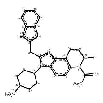 COC(=O)N1c2ccc3c(nc(Cc4cc5ccccc5[nH]4)n3C3CCC(C(=O)O)CC3)c2CCC1C